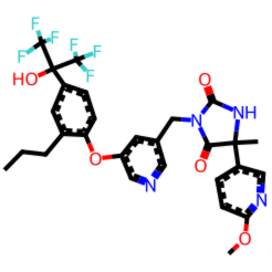 CCCc1cc(C(O)(C(F)(F)F)C(F)(F)F)ccc1Oc1cncc(CN2C(=O)NC(C)(c3ccc(OC)nc3)C2=O)c1